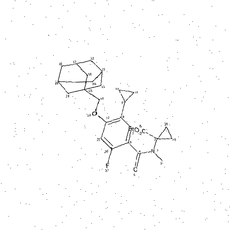 CCOC(=O)C1(N(C)C(=O)c2cc(C3CC3)c(OCC34CC5CC(CC(C5)C3)C4)cc2F)CC1